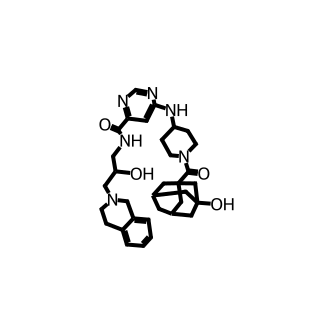 O=C(NCC(O)CN1CCc2ccccc2C1)c1cc(NC2CCN(C(=O)C34CC5CC(CC(O)(C5)C3)C4)CC2)ncn1